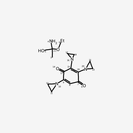 CCOC(C)(N)O.O=C1C=C(N2CC2)C(=O)C(N2CC2)=C1N1CC1